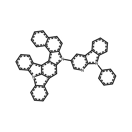 c1ccc(-n2c3ccccc3c3cc(-n4c5ccc6ccccc6c5c5c6c7ccccc7n7c8ccccc8c(cc54)c67)cnc32)cc1